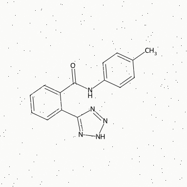 Cc1ccc(NC(=O)c2ccccc2-c2nn[nH]n2)cc1